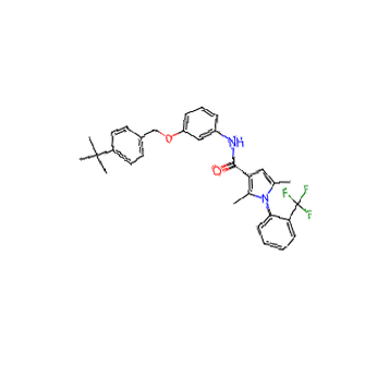 Cc1cc(C(=O)Nc2cccc(OCc3ccc(C(C)(C)C)cc3)c2)c(C)n1-c1ccccc1C(F)(F)F